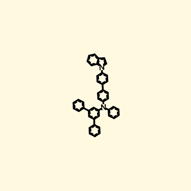 c1ccc(-c2cc(-c3ccccc3)cc(N(c3ccccc3)c3ccc(-c4ccc(-n5ccc6ccccc65)cc4)cc3)c2)cc1